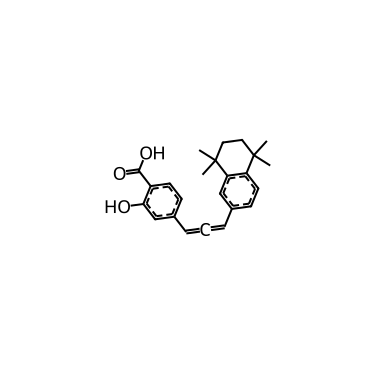 CC1(C)CCC(C)(C)c2cc(C=C=Cc3ccc(C(=O)O)c(O)c3)ccc21